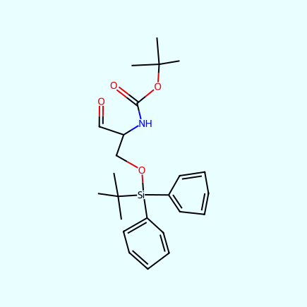 CC(C)(C)OC(=O)NC(C=O)CO[Si](c1ccccc1)(c1ccccc1)C(C)(C)C